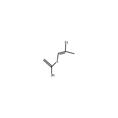 C=C(S/C=C(\C)CC)C(C)C